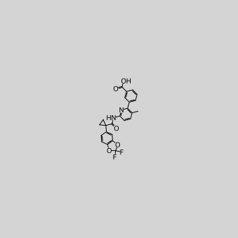 Cc1ccc(NC(=O)C2(c3ccc4c(c3)OC(F)(F)O4)CC2)nc1-c1cccc(C(=O)O)c1